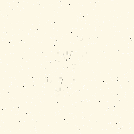 CC(C)C1=C2C(CC=C1)C(C)c1c(-c3cccc(-n4c5ccccc5c5cc(C6N7c8c(C(C)C)cccc8C(C)c8ccc9c(c87)N6c6c(C(C)C)cccc6C9C)ccc54)c3)cc3c4c1N2C(c1ccc2c(c1)c1ccccc1n2-c1ccc2ccccc2c1)N4c1c(C(C)C)cccc1C3C